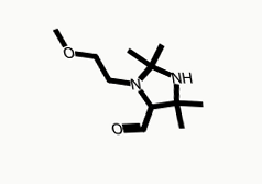 COCCN1C(C=O)C(C)(C)NC1(C)C